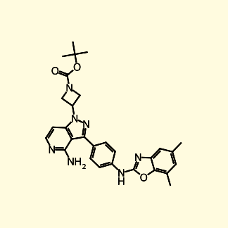 Cc1cc(C)c2oc(Nc3ccc(-c4nn(C5CN(C(=O)OC(C)(C)C)C5)c5ccnc(N)c45)cc3)nc2c1